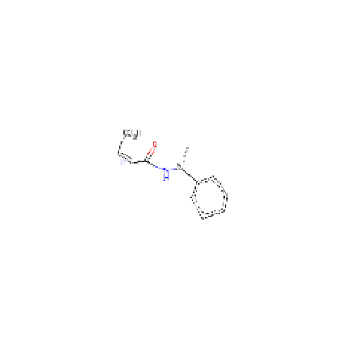 C[C@@H](NC(=O)/C=C\C(=O)O)c1ccccc1